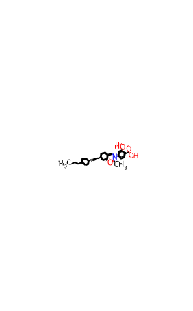 CCCCc1ccc(C#Cc2ccc(CN(C(C)=O)c3ccc(C(=O)O)c(O)c3)cc2)cc1